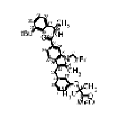 COC(=O)C(C)(C)Oc1cccc(Cc2c(C)n(CC(C)C)c3cc(C(=O)N[C@@H](C)c4cccc(C(C)(C)C)c4)ccc23)c1